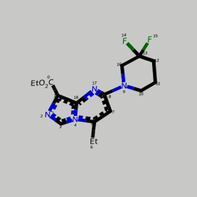 CCOC(=O)c1ncn2c(CC)cc(N3CCCC(F)(F)C3)nc12